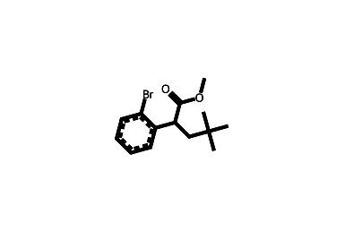 COC(=O)C(CC(C)(C)C)c1ccccc1Br